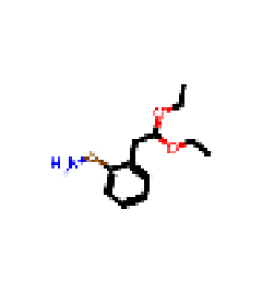 CCOC(Cc1ccccc1SN)OCC